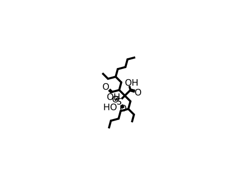 CCCCC(CC)CC(C(=O)O)C(CC(CC)CCCC)(C(=O)O)S(=O)(=O)O